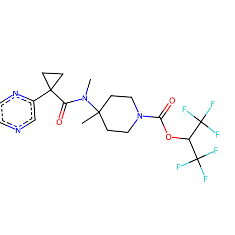 CN(C(=O)C1(c2cnccn2)CC1)C1(C)CCN(C(=O)OC(C(F)(F)F)C(F)(F)F)CC1